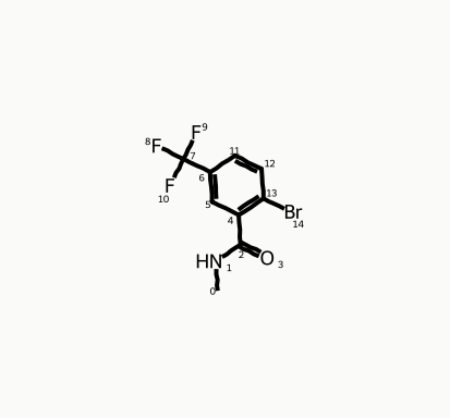 CNC(=O)c1cc(C(F)(F)F)ccc1Br